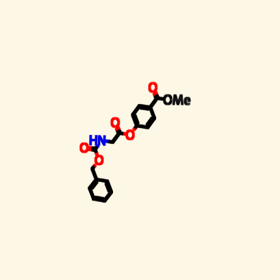 [CH2]OC(=O)c1ccc(OC(=O)CNC(=O)OCc2ccccc2)cc1